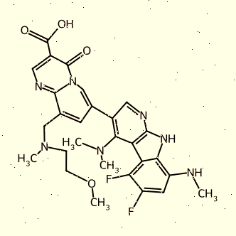 CNc1cc(F)c(F)c2c1[nH]c1ncc(-c3cc(CN(C)CCOC)c4ncc(C(=O)O)c(=O)n4c3)c(N(C)C)c12